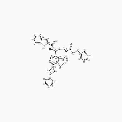 O=C(N[C@H]1CCN(C(=O)OCc2ccccc2)C[C@H]2CC[C@@H](C(=O)N3CC(c4cccnc4)C3)N2C1=O)c1cc2ccccc2s1